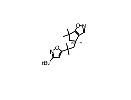 CC(C)(C)c1cc(C(C)(C)C[C@@]2(C)CC(C)(C)c3oncc32)on1